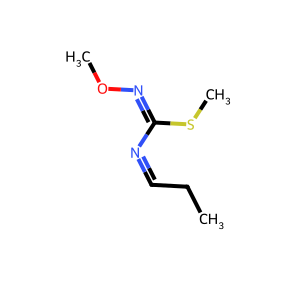 CC/C=N\C(=N/OC)SC